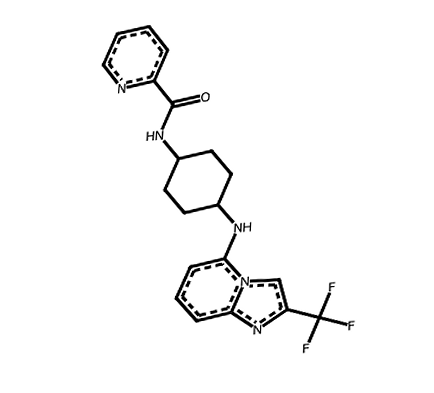 O=C(NC1CCC(Nc2cccc3nc(C(F)(F)F)cn23)CC1)c1ccccn1